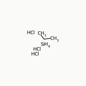 CCC.Cl.Cl.Cl.[SiH4]